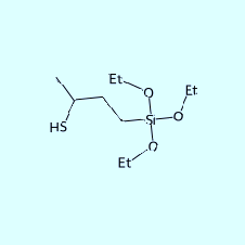 CCO[Si](CCC(C)S)(OCC)OCC